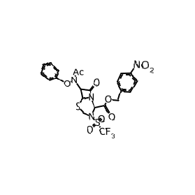 CC(=O)N(Oc1ccccc1)C1C(=O)N2C1SCN(S(=O)(=O)C(F)(F)F)C2C(=O)OCc1ccc([N+](=O)[O-])cc1